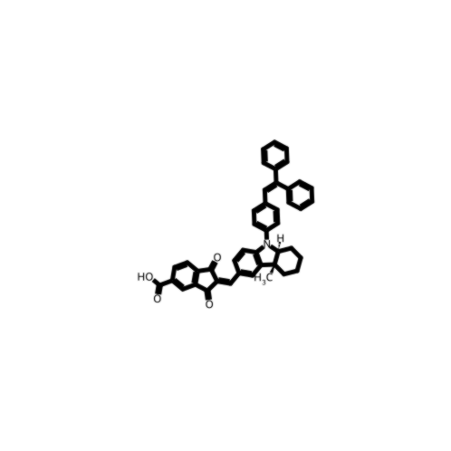 C[C@]12CCCC[C@@H]1N(c1ccc(C=C(c3ccccc3)c3ccccc3)cc1)c1ccc(/C=C3\C(=O)c4ccc(C(=O)O)cc4C3=O)cc12